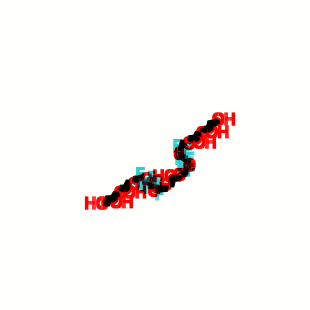 OCCC(O)COCC(O)COCC(F)(F)OC(F)(F)C(F)(F)OC(F)(F)COCC(O)COCC(F)(F)OC(F)(F)C(F)(F)OC(F)(F)COCC(O)COCC(O)CCO